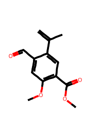 C=C(C)c1cc(C(=O)OC)c(OC)cc1C=O